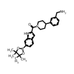 CC1(C)OB(c2ccc3cc(C(=O)N4CCC(c5cccc(CN)c5)CC4)[nH]c3c2)OC1(C)C